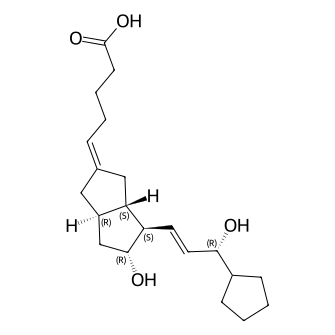 O=C(O)CCCC=C1C[C@@H]2C[C@@H](O)[C@H](C=C[C@H](O)C3CCCC3)[C@H]2C1